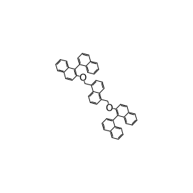 c1ccc2c(-c3c(OCc4cccc5c(COc6ccc7ccccc7c6-c6cccc7ccccc67)cccc45)ccc4ccccc34)cccc2c1